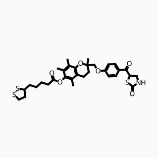 Cc1c(C)c2c(c(C)c1OC(=O)CCCCC1CCSS1)CCC(C)(COc1ccc(C(=O)C3CNC(=O)S3)cc1)O2